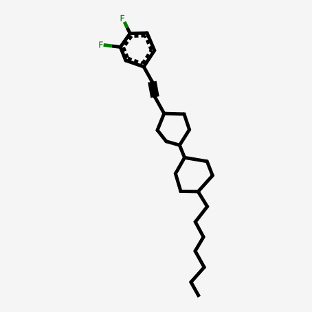 CCCCCCCC1CCC(C2CCC(C#Cc3ccc(F)c(F)c3)CC2)CC1